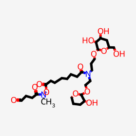 CN(OC(=O)CCCCCCC(=O)N(CCCOC1OC(CO)CC(O)C1O)CCOC1OCCCC1O)C(=O)CCC=O